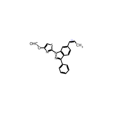 C/C=C\c1ccc2c(-c3ccccc3)nn(-c3nc(OC=O)cs3)c2c1